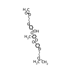 C=CC(=C)OCCCCOc1ccc(C(=O)Oc2ccc(OC(O)c3ccc(OCCCCOC(=O)C=C)cc3)c(C)c2)cc1